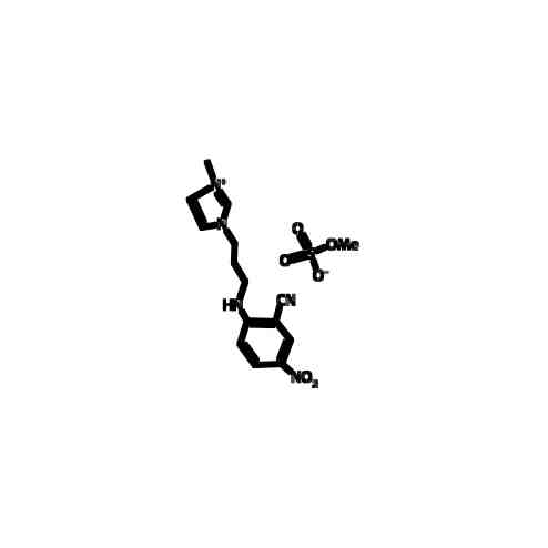 COS(=O)(=O)[O-].C[n+]1ccn(CCCNc2ccc([N+](=O)[O-])cc2C#N)c1